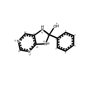 OC1(c2ccccc2)Nc2cncnc2N1